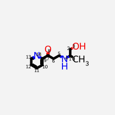 CC(CO)NCCC(=O)c1ccccn1